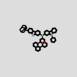 c1ccc(-c2cccc3cccc(-c4cccc(N(c5ccc6c(c5)oc5cc(C78CC9CC(CC(C9)C7)C8)ccc56)c5ccc6c7ccccc7n(-c7ccccc7)c6c5)c4)c23)cc1